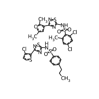 CCCc1ccc(S(=O)(=O)Nc2nc(-c3sccc3Cl)ns2)cc1.Cc1cc(-c2nsc(NS(=O)(=O)c3c(C)cc(Cl)cc3Cl)n2)c(C)o1